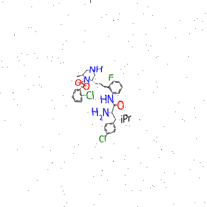 CC(C)[C@H](c1ccc(Cl)cc1)[C@H](N)C(=O)Nc1cccc(F)c1CCC[C@H]1CNC[C@H](C)N1S(=O)(=O)c1ccccc1Cl